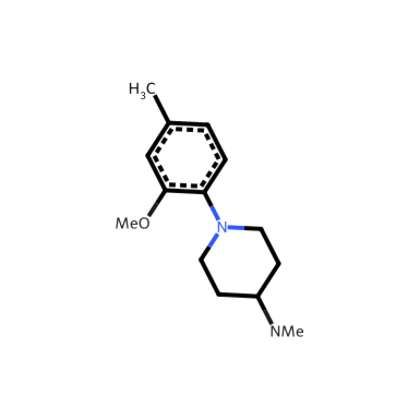 CNC1CCN(c2ccc(C)cc2OC)CC1